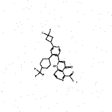 NC(=O)c1nccc2[nH]c(-c3cnc(C4CC(F)(F)C4)cc3C3CCC(C(F)(F)F)CC3)cc(=O)c12